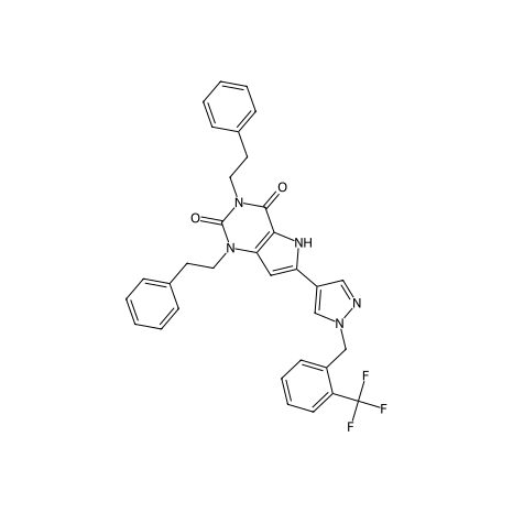 O=c1c2[nH]c(-c3cnn(Cc4ccccc4C(F)(F)F)c3)cc2n(CCc2ccccc2)c(=O)n1CCc1ccccc1